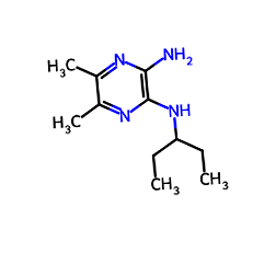 CCC(CC)Nc1nc(C)c(C)nc1N